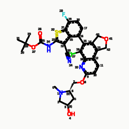 CN1C[C@H](O)C[C@H]1COc1ccc2c3c(c(-c4ccc(F)c5sc(NC(=O)OC(C)(C)C)c(C#N)c45)c(Cl)c2n1)COC3